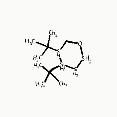 CC(C)(C)[SiH]1CO[SiH2][SiH2][SiH]1C(C)(C)C